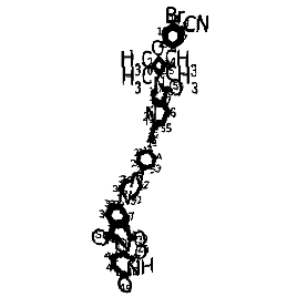 CC1(C)[C@H](Oc2ccc(C#N)c(Br)c2)C(C)(C)[C@H]1N1Cc2nc(C#C[C@H]3CC[C@H](N4CCN(c5ccc6c(c5)C(=O)N(C5CCC(=O)NC5=O)C6=O)CC4)CC3)ccc2C1=O